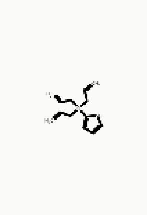 C=CC[Si](CC=C)(CC=C)c1ccc[nH]1